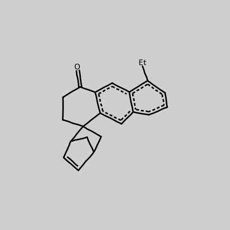 CCc1cccc2cc3c(cc12)C(=O)CCC31CC2C=CC1C2